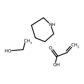 C1CCNCC1.C=CC(=O)O.CCO